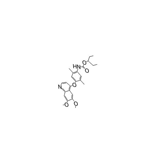 CCC(CC)OC(=O)Nc1cc(C)c(Oc2ccnc3cc(OC)c(OC)cc23)cc1C